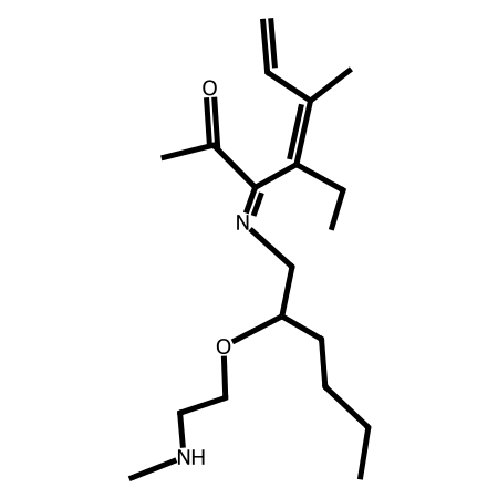 C=C/C(C)=C(CC)\C(=N/CC(CCCC)OCCNC)C(C)=O